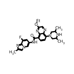 CCOc1cnc2c(N3CC(C)NC(C)C3)ccc(C(=O)Nc3cc(F)c4nc(C)cn4c3)c2n1